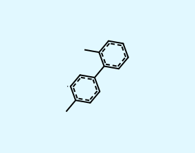 Cc1[c]cc(-c2ccccc2C)cc1